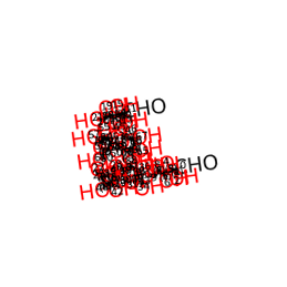 O=C[C@H](O)[C@@H](O)[C@@H](O)[C@H](O)CO.O=C[C@H](O)[C@@H](O)[C@H](O)[C@H](O)CO.OC[C@H]1O[C@@](CO)(O[C@H]2O[C@H](CO)[C@@H](O)[C@H](O)[C@H]2O)[C@@H](O)[C@@H]1O.OC[C@H]1O[C@H](O[C@H]2[C@H](O)[C@@H](O)[C@H](O)O[C@@H]2CO)[C@H](O)[C@@H](O)[C@@H]1O